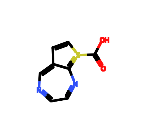 O=C(O)S1=C2N=CC=NC=C2C=C1